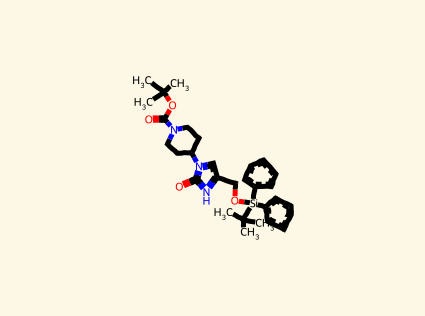 CC(C)(C)OC(=O)N1CCC(n2cc(CO[Si](c3ccccc3)(c3ccccc3)C(C)(C)C)[nH]c2=O)CC1